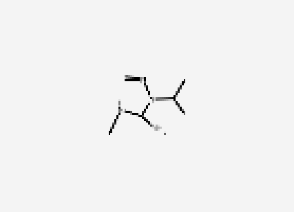 C=NN(C(C)C)C(N)NC